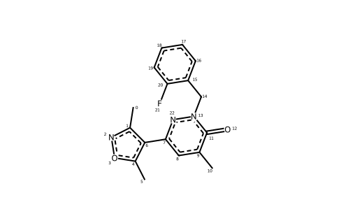 Cc1noc(C)c1-c1cc(C)c(=O)n(Cc2ccccc2F)n1